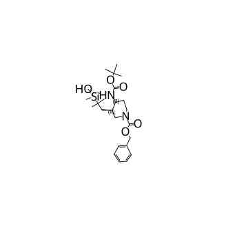 CC(C)(C)OC(=O)N[C@@H]1CCN(C(=O)OCc2ccccc2)C[C@H]1CC(C)(C)[Si](C)(C)O